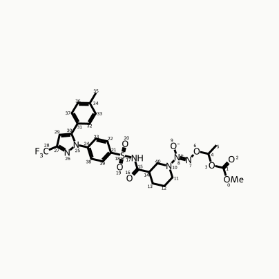 COC(=O)OC(C)ON=[N+]([O-])N1CCCC(C(=O)NS(=O)(=O)c2ccc(-n3nc(C(F)(F)F)cc3-c3ccc(C)cc3)cc2)C1